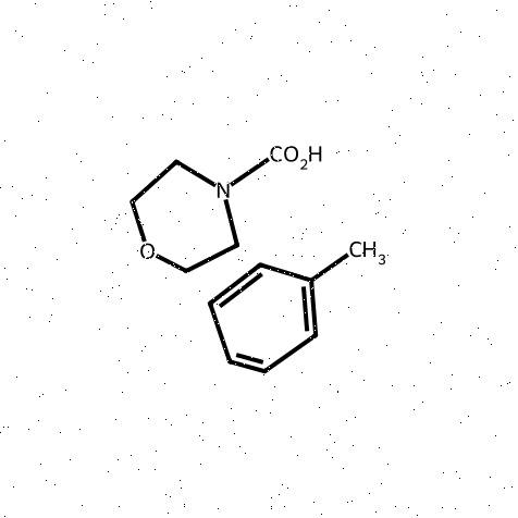 Cc1ccccc1.O=C(O)N1CCOCC1